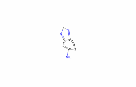 Nc1ccc2c(c1)=NCN=2